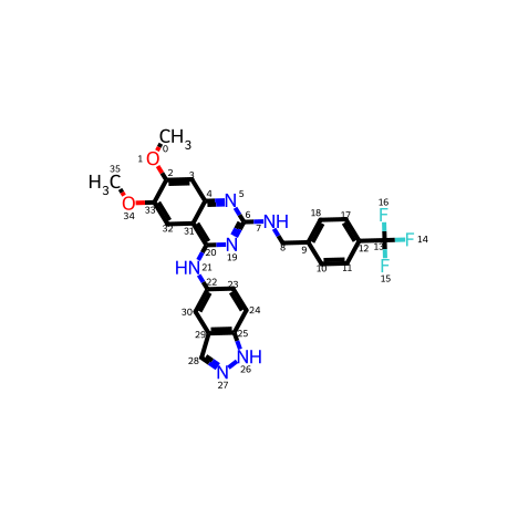 COc1cc2nc(NCc3ccc(C(F)(F)F)cc3)nc(Nc3ccc4[nH]ncc4c3)c2cc1OC